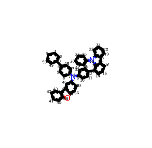 c1ccc(-c2ccc(N(c3ccc(-c4cccc5c6ccccc6n(-c6ccccc6)c45)cc3)c3ccc4oc5ccccc5c4c3)cc2)cc1